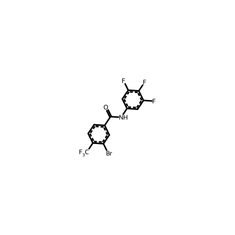 O=C(Nc1cc(F)c(F)c(F)c1)c1ccc(C(F)(F)F)c(Br)c1